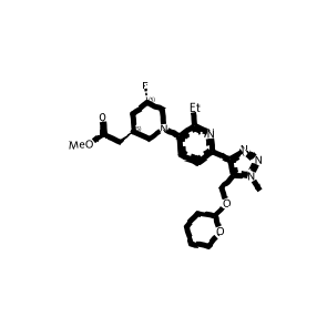 CCc1nc(-c2nnn(C)c2COC2CCCCO2)ccc1N1C[C@@H](F)C[C@H](CC(=O)OC)C1